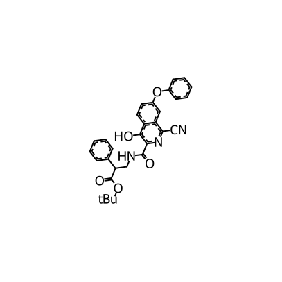 CC(C)(C)OC(=O)C(CNC(=O)c1nc(C#N)c2cc(Oc3ccccc3)ccc2c1O)c1ccccc1